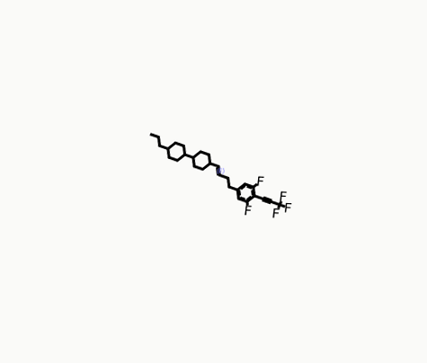 CCCC1CCC(C2CCC(/C=C/CCc3cc(F)c(C#CC(F)(F)F)c(F)c3)CC2)CC1